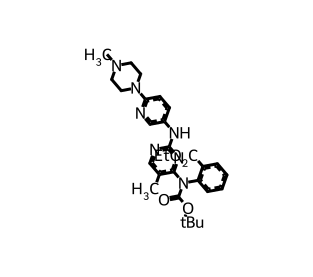 CCOC(=O)c1ccccc1N(C(=O)OC(C)(C)C)c1nc(Nc2ccc(N3CCN(C)CC3)nc2)ncc1C